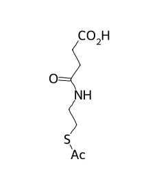 CC(=O)SCCNC(=O)CCC(=O)O